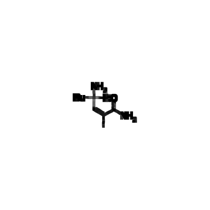 CCC(C)C(N)(C=C(C)C(N)=O)CC